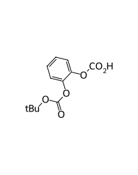 CC(C)(C)OC(=O)Oc1ccccc1OC(=O)O